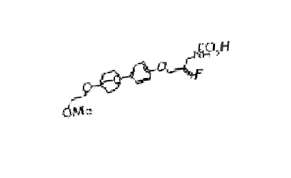 COCCOC12CCC(c3ccc(OCC(=CF)CNC(=O)O)cc3)(CC1)CC2